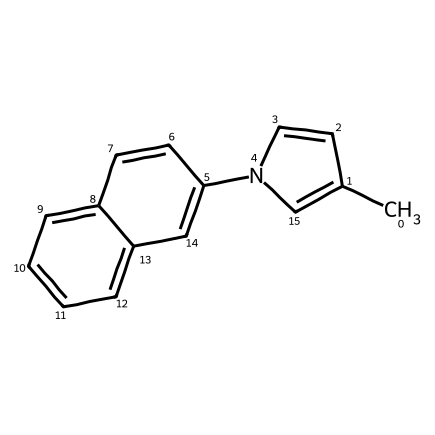 Cc1ccn(-c2ccc3ccccc3c2)c1